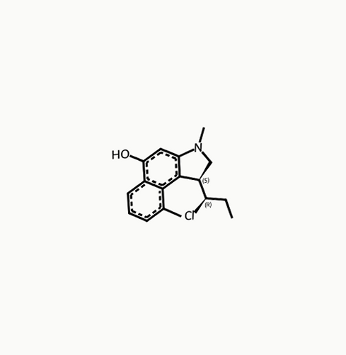 CC[C@@H](Cl)[C@@H]1CN(C)c2cc(O)c3cccc(C)c3c21